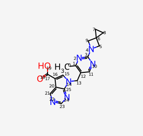 Cc1nc(N2CC3(CC3)C2)ncc1Cn1cc(C(=O)O)c2cncnc21